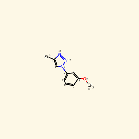 CCc1cn(-c2cccc(OC(F)(F)F)c2)nn1